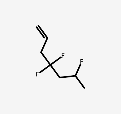 C=CCC(F)(F)CC(C)F